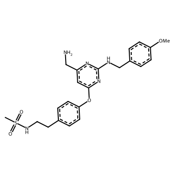 COc1ccc(CNc2nc(CN)cc(Oc3ccc(CCNS(C)(=O)=O)cc3)n2)cc1